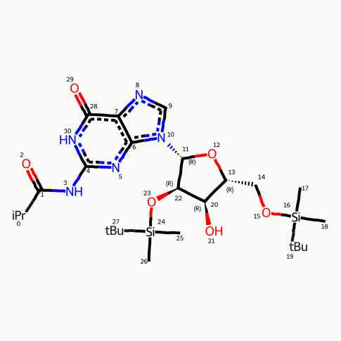 CC(C)C(=O)Nc1nc2c(ncn2[C@@H]2O[C@H](CO[Si](C)(C)C(C)(C)C)[C@@H](O)[C@H]2O[Si](C)(C)C(C)(C)C)c(=O)[nH]1